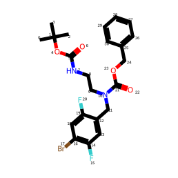 CC(C)(C)OC(=O)NCCN(Cc1cc(F)c(Br)cc1F)C(=O)OCc1ccccc1